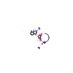 COc1ccc2c(O[C@H]3C[C@H]4C(=O)NCCCCC/C=C\[C@@H]5C[C@@]5(C(=O)CS(=O)(=O)C5CC5)NC(=O)[C@@H]4C3)cc(-c3nc(C(C)C)cs3)nc2c1C